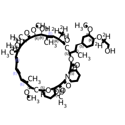 [2H]C([2H])(CO)O[C@@H]1CC[C@@H](C[C@@H](C)[C@@H]2CC(=O)[C@H](C([2H])([2H])[2H])/C=C(\C)[C@@H](O)[C@@H](OC)C(=O)[C@H](C)C([2H])(C)[C@]([2H])(C)/C=C/C=C/C=C(\C)[C@@H](OC)C[C@@H]3CC[C@@H](C)[C@@](O)(O3)C(=O)C(=O)N3CCCC[C@H]3C(=O)O2)C[C@H]1OC